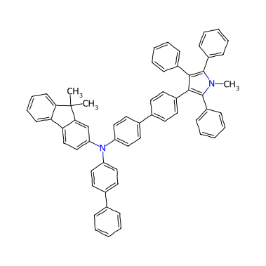 Cn1c(-c2ccccc2)c(-c2ccccc2)c(-c2ccc(-c3ccc(N(c4ccc(-c5ccccc5)cc4)c4ccc5c(c4)C(C)(C)c4ccccc4-5)cc3)cc2)c1-c1ccccc1